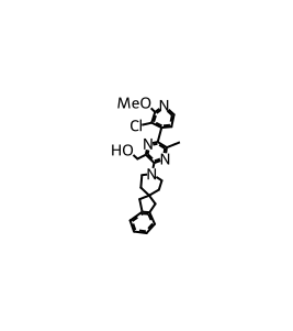 COc1nccc(-c2nc(CO)c(N3CCC4(CC3)Cc3ccccc3C4)nc2C)c1Cl